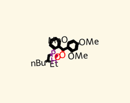 CCCCC(CC)C[PH](=O)c1ccccc1C(=O)c1c(OC)cc(OC)cc1OC